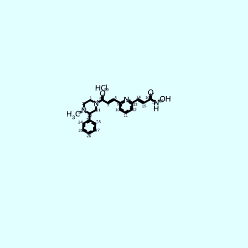 CN1CCN(C(=O)C=Cc2cccc(C=CC(=O)NO)n2)CC1c1ccccc1.Cl